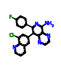 Nc1nc(-c2ccc(F)cc2)c(-c2cc(Cl)c3ncccc3c2)c2nccnc12